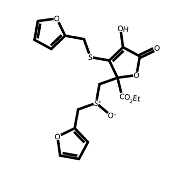 CCOC(=O)C1(C[S+]([O-])Cc2ccco2)OC(=O)C(O)=C1SCc1ccco1